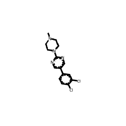 CN1CCN(c2ncc(-c3ccc(Cl)c(Cl)c3)cn2)CC1